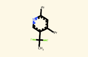 CC(C)c1cc(C(C)C)c(C(C)(F)F)cn1